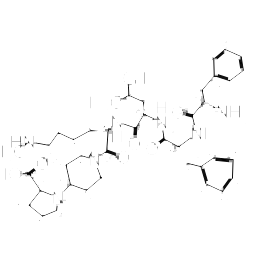 CNCCCC[C@@H](NC(=O)[C@@H](CC(C)C)NC(=O)[C@@H](Cc1ccccc1)NC(=O)[C@H](N)Cc1ccccc1)C(=O)N1CCC(N2CCCC2C(=O)O)CC1